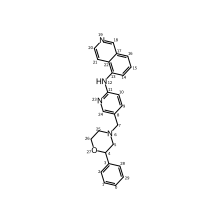 c1ccc(C2CN(Cc3ccc(Nc4cccc5cnccc45)nc3)CCO2)cc1